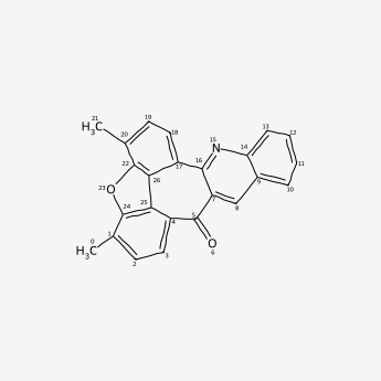 Cc1ccc2c(=O)c3cc4ccccc4nc3c3ccc(C)c4oc1c2c43